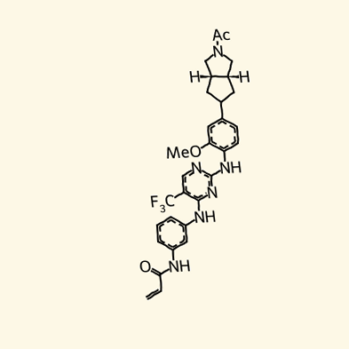 C=CC(=O)Nc1cccc(Nc2nc(Nc3ccc(C4C[C@@H]5CN(C(C)=O)C[C@@H]5C4)cc3OC)ncc2C(F)(F)F)c1